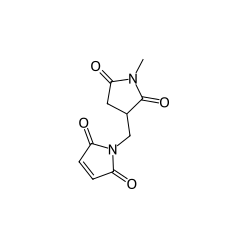 CN1C(=O)CC(CN2C(=O)C=CC2=O)C1=O